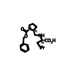 CC(C)C[C@H](NC[C@@H]1CCCN1C(=O)OCc1ccccc1)C(=O)O